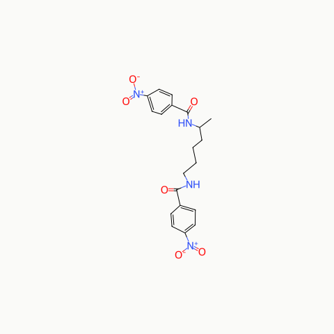 CC(CCCCNC(=O)c1ccc([N+](=O)[O-])cc1)NC(=O)c1ccc([N+](=O)[O-])cc1